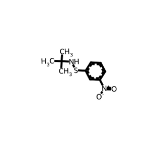 CC(C)(C)NSc1cccc([N+](=O)[O-])c1